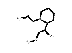 CCCN1CCCCC1C(O)COC